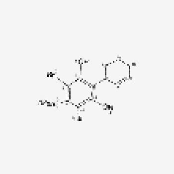 CCCCCc1c(Br)c(O)c(C2C=CCCC2)c(O)c1Br